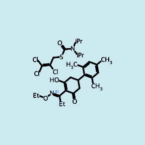 CC(C)N(C(=O)SCC(Cl)=C(Cl)Cl)C(C)C.CCO/N=C(\CC)C1=C(O)CC(c2c(C)cc(C)cc2C)CC1=O